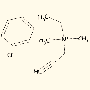 C#CC[N+](C)(C)CC.[Cl-].c1ccccc1